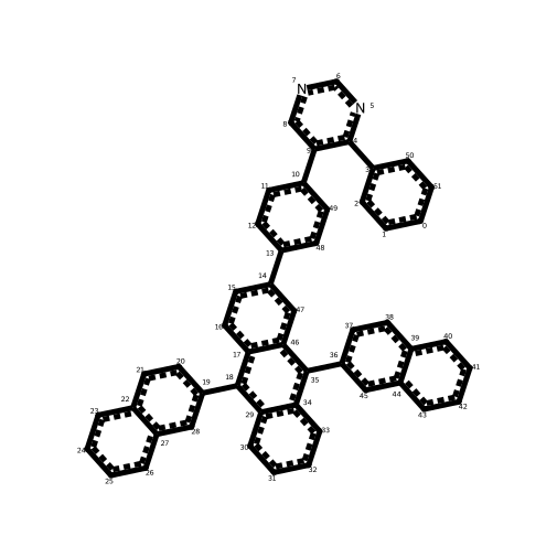 c1ccc(-c2ncncc2-c2ccc(-c3ccc4c(-c5ccc6ccccc6c5)c5ccccc5c(-c5ccc6ccccc6c5)c4c3)cc2)cc1